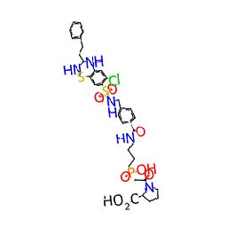 O=C(NCCCCP(=O)(O)CC(=O)N1CCC[C@H]1C(=O)O)c1ccc(CNS(=O)(=O)c2cc3c(cc2Cl)NC(CCc2ccccc2)NS3)cc1